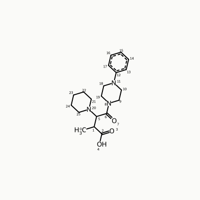 CC(C(=O)O)C(C(=O)N1CCN(c2ccccc2)CC1)N1CCCCC1